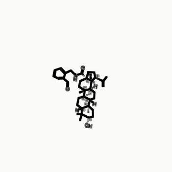 C=C(C)[C@@H]1CC[C@]2(C(=O)NCc3ccccc3C=O)CC[C@]3(C)[C@H](CC[C@@H]4[C@@]5(C)CC[C@H](O)C(C)(C)[C@@H]5CC[C@]43C)[C@@H]12